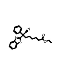 CCOC(=O)CCCCCC(C#N)(c1ccccc1)c1nc2ccccc2s1